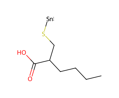 CCCCC(C[S][Sn])C(=O)O